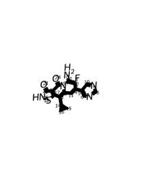 Nc1c(F)c(-c2cncnc2)cc2c(C3CC3)c3s[nH]c(=O)c3c(=O)n12